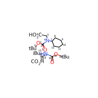 CC(C)(C)OC(=O)N(CC(=O)O)C1CCCCC1.CC[C@@H](C)[C@H](NC(=O)OC(C)(C)C)C(=O)O